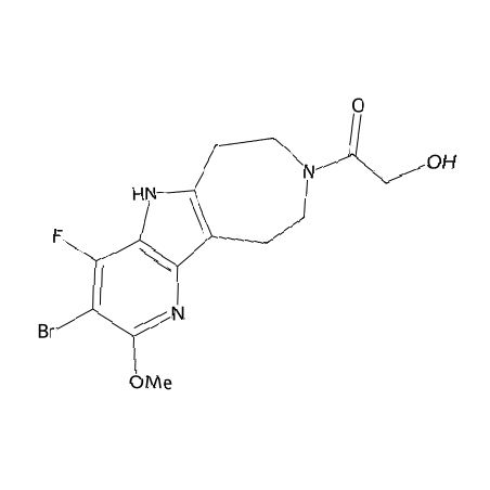 COc1nc2c3c([nH]c2c(F)c1Br)CCN(C(=O)CO)CC3